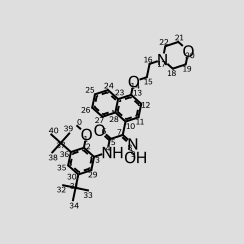 COc1c(NC(=O)/C(=N\O)c2ccc(OCCN3CCOCC3)c3ccccc23)cc(C(C)(C)C)cc1C(C)(C)C